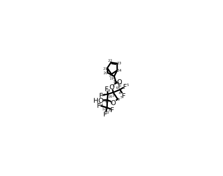 O=C(OC1(C(F)(F)F)COC(O)(C(F)(F)F)C1(F)F)C1CC2C=CC1C2